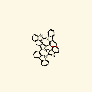 Cc1c(-c2cccc3c4ccccc4n(-c4nc5ccccc5o4)c23)sc(-c2cccc3c4ccccc4n(-c4nc5ccccc5o4)c23)c1C